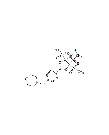 CS(=O)(=O)C1(S(C)(=O)=O)OB(c2ccc(CN3CCOCC3)cc2)OC1(S(C)(=O)=O)S(C)(=O)=O